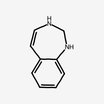 C1=Cc2ccccc2NCN1